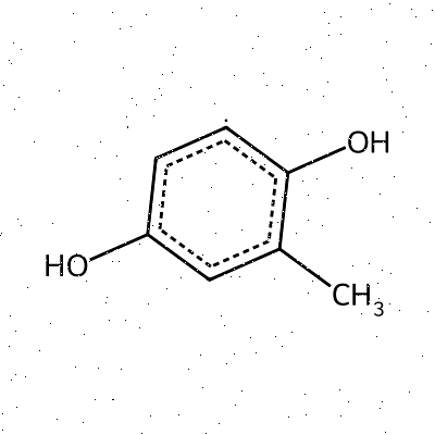 Cc1cc(O)c[c]c1O